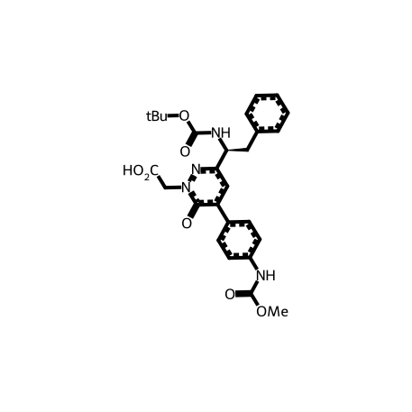 COC(=O)Nc1ccc(-c2cc([C@H](Cc3ccccc3)NC(=O)OC(C)(C)C)nn(CC(=O)O)c2=O)cc1